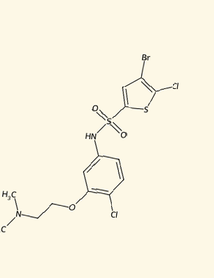 CN(C)CCOc1cc(NS(=O)(=O)c2cc(Br)c(Cl)s2)ccc1Cl